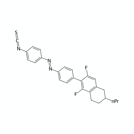 CCCC1CCc2c(cc(F)c(-c3ccc(N=Nc4ccc(N=C=S)cc4)cc3)c2F)C1